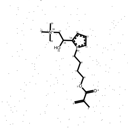 C=C(C)C(=O)OCCCCp1cccc1C(O)C[N+](C)(C)C